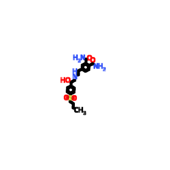 CCCCS(=O)(=O)c1ccc(C(O)CNCCc2ccc(C(N)=O)c(C(N)=O)c2)cc1